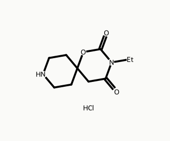 CCN1C(=O)CC2(CCNCC2)OC1=O.Cl